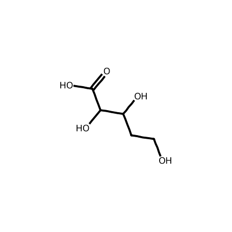 O=C(O)C(O)C(O)CCO